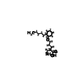 CCCCCc1ccccc1OCCC[C@H](CS)C(=O)O